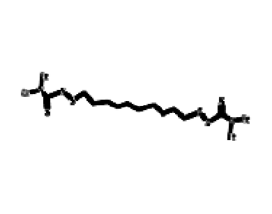 CCN(CC)C(=S)SSCCCCCCCCCCSSC(=S)N(CC)CC